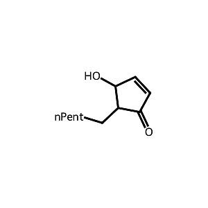 CCCCCCC1C(=O)C=CC1O